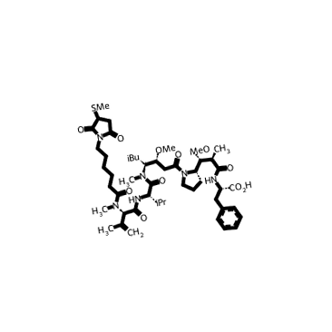 C=C(C)[C@@H](C(=O)N[C@H](C(=O)N(C)[C@@H]([C@@H](C)CC)[C@@H](CC(=O)N1CCC[C@H]1[C@H](OC)[C@@H](C)C(=O)N[C@@H](Cc1ccccc1)C(=O)O)OC)C(C)C)N(C)C(=O)CCCCCN1C(=O)CC(SC)C1=O